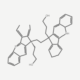 C/C=C1\C(=C/C)c2nc3ccccc3cc2[C@@]1(CCCO)CCC1(CCCO)C2=CCCC=C2C2=C1C=C1C=CC=CC1N2